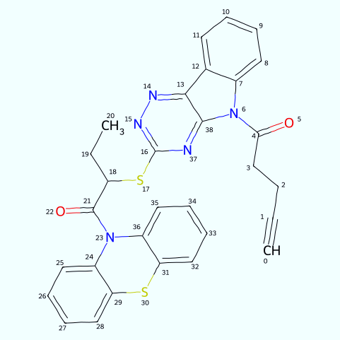 C#CCCC(=O)n1c2ccccc2c2nnc(SC(CC)C(=O)N3c4ccccc4Sc4ccccc43)nc21